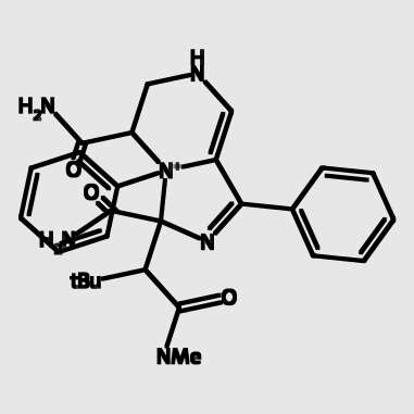 CNC(=O)C(C(C)(C)C)C1(C(N)=O)N=C(c2ccccc2)C2=CNCC(C(N)=O)[N+]21c1ccccc1